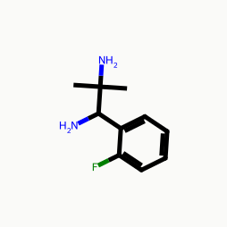 CC(C)(N)C(N)c1ccccc1F